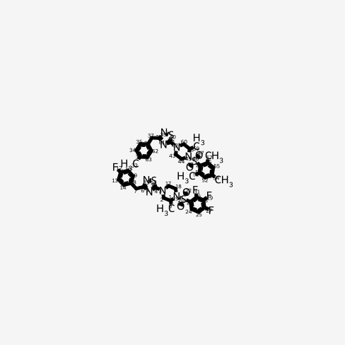 CC1CN(c2nc(Cc3ccc(F)cc3)ns2)CCN1S(=O)(=O)c1ccc(F)c(F)c1F.Cc1ccc(Cc2nsc(N3CCN(S(=O)(=O)c4c(C)cc(C)cc4C)C(C)C3)n2)cc1